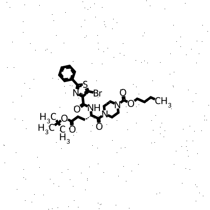 CCCCOC(=O)N1CCN(C(=O)[C@H](CCC(=O)OC(C)(C)C)NC(=O)c2nc(-c3ccccc3)sc2Br)CC1